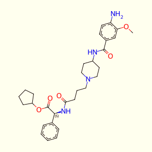 COc1cc(C(=O)NC2CCN(CCCC(=O)N[C@H](C(=O)OC3CCCC3)c3ccccc3)CC2)ccc1N